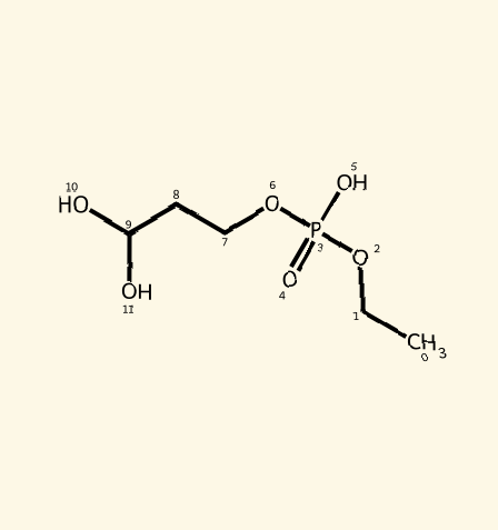 CCOP(=O)(O)OCCC(O)O